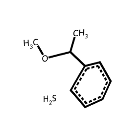 COC(C)c1ccccc1.S